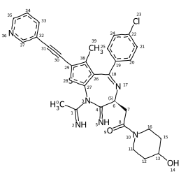 CC(=N)N1C(=N)[C@H](CC(=O)N2CCC(O)CC2)N=C(c2ccc(Cl)cc2)c2c1sc(C#Cc1cccnc1)c2C